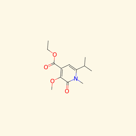 CCOC(=O)c1cc(C(C)C)n(C)c(=O)c1OC